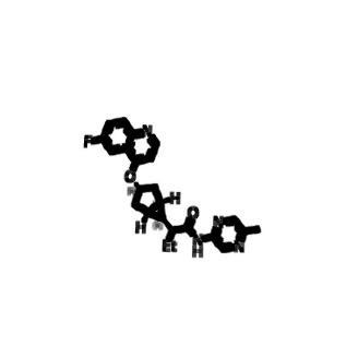 CCC(C(=O)Nc1cnc(C)cn1)[C@H]1[C@@H]2C[C@H](Oc3ccnc4ccc(F)cc34)C[C@@H]21